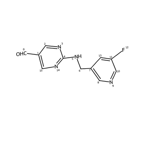 O=Cc1cnc(NCc2cncc(F)c2)nc1